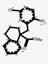 COC(=O)C1(Cc2nc(Cl)ncc2[N+](=O)[O-])CCCc2ccccc21